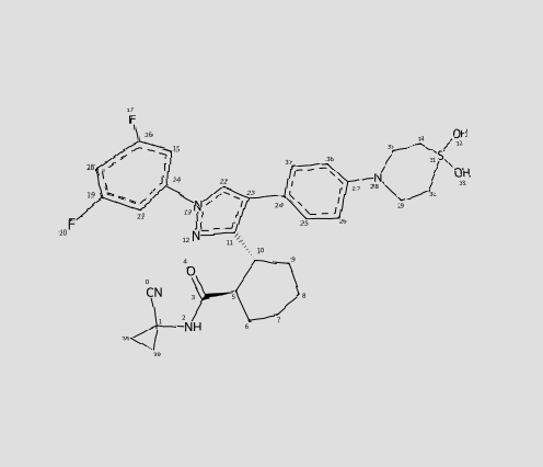 N#CC1(NC(=O)[C@@H]2CCCC[C@H]2c2nn(-c3cc(F)cc(F)c3)cc2-c2ccc(N3CCS(O)(O)CC3)cc2)CC1